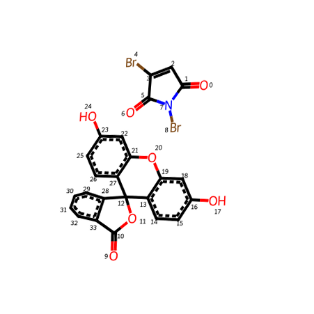 O=C1C=C(Br)C(=O)N1Br.O=C1OC2(c3ccc(O)cc3Oc3cc(O)ccc32)c2ccccc21